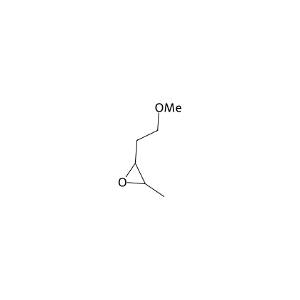 COCCC1OC1C